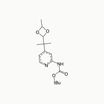 CC1OC(C(C)(C)c2ccnc(NC(=O)OC(C)(C)C)c2)O1